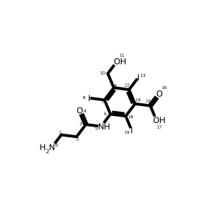 NCCC(=O)Nc1c(I)c(CO)c(I)c(C(=O)O)c1I